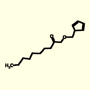 CCCCCCCCC(=O)COCC1C=CC=C1